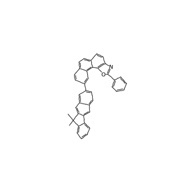 CC1(C)c2ccccc2-c2cc3ccc(-c4ccc5ccc6ccc7nc(-c8ccccc8)oc7c6c5c4)cc3cc21